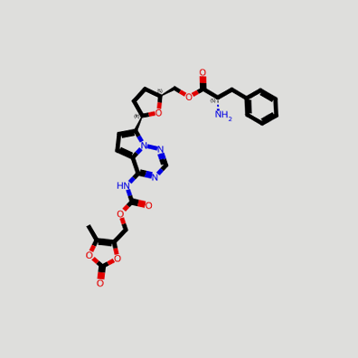 Cc1oc(=O)oc1COC(=O)Nc1ncnn2c([C@H]3CC[C@@H](COC(=O)[C@@H](N)Cc4ccccc4)O3)ccc12